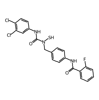 O=C(Nc1ccc(CN(S)C(=O)Nc2ccc(Cl)c(Cl)c2)cc1)c1ccccc1F